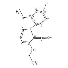 CCOC1=CC=NC(c2ccc(F)cc2CN)C1=C=O